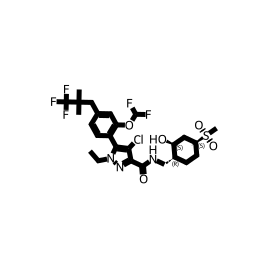 CCn1nc(C(=O)NC[C@H]2CC[C@H](S(C)(=O)=O)C[C@@H]2O)c(Cl)c1-c1ccc(CC(C)(C)C(F)(F)F)cc1OC(F)F